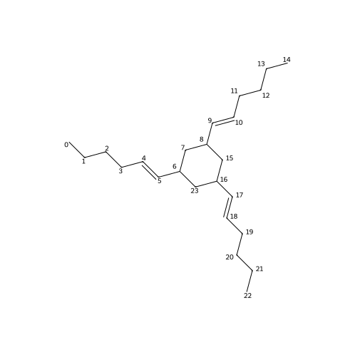 CCCC/C=C/C1CC(/C=C/CCCC)CC(/C=C/CCCC)C1